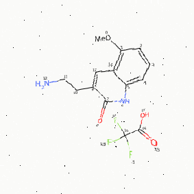 COc1cccc2[nH]c(=O)c(CCN)cc12.O=C(O)C(F)(F)F